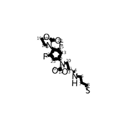 O=C1O[C@@H](CNCCC=S)CN1c1cc(F)c(N2CCOC2=O)c(F)c1